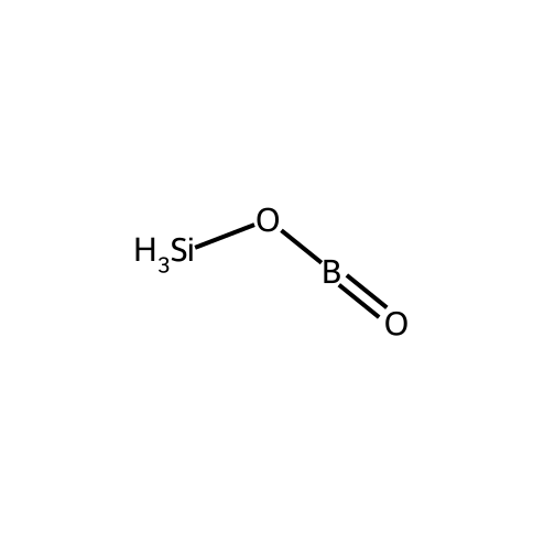 O=BO[SiH3]